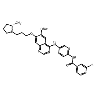 [CH2][C@H]1CCCN1CCCOc1cc2ncnc(Nc3ccc(NC(=O)c4cccc(Cl)c4)nc3)c2cc1OC